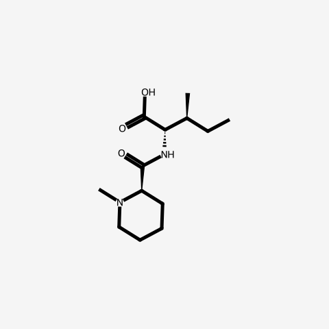 CC[C@H](C)[C@H](NC(=O)[C@H]1CCCCN1C)C(=O)O